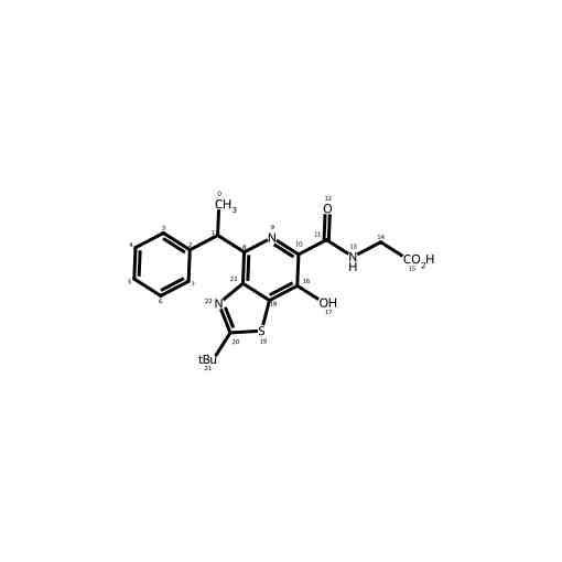 CC(c1ccccc1)c1nc(C(=O)NCC(=O)O)c(O)c2sc(C(C)(C)C)nc12